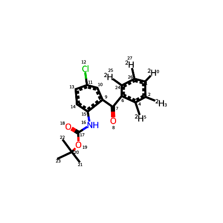 [2H]c1c([2H])c([2H])c(C(=O)c2cc(Cl)ccc2NC(=O)OC(C)(C)C)c([2H])c1[2H]